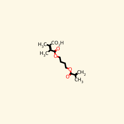 C=C(C)C(=O)OCCCCOC(=O)/C(C)=C(/C)C(=O)O